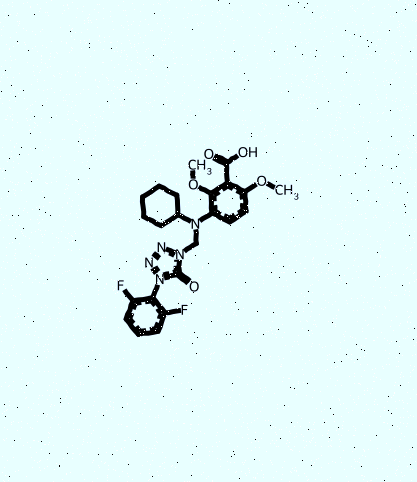 COc1ccc(N(Cn2nnn(-c3c(F)cccc3F)c2=O)C2CCCCC2)c(OC)c1C(=O)O